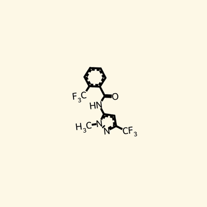 Cn1nc(C(F)(F)F)cc1NC(=O)c1ccccc1C(F)(F)F